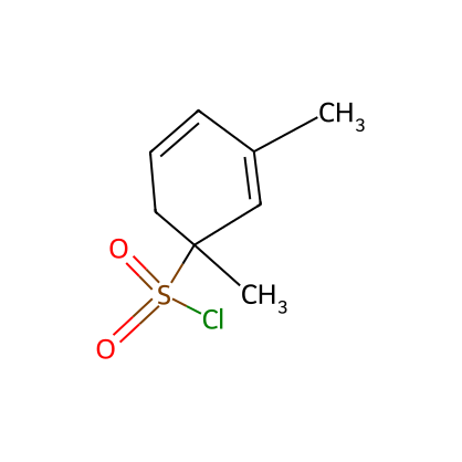 CC1=CC(C)(S(=O)(=O)Cl)CC=C1